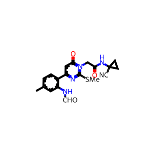 CSc1nc(-c2ccc(C)cc2NC=O)cc(=O)n1CC(=O)NC1(C#N)CC1